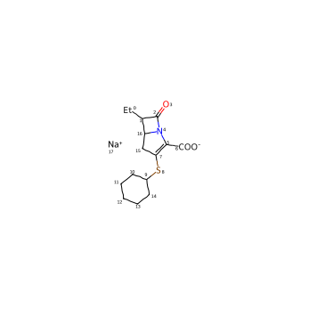 CCC1C(=O)N2C(C(=O)[O-])=C(SC3CCCCC3)CC12.[Na+]